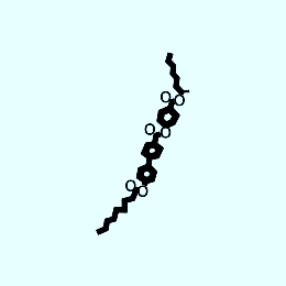 CCCCCCCCC(=O)Oc1ccc(-c2ccc(C(=O)Oc3ccc(C(=O)O[C@H](C)CCCCCC)cc3)cc2)cc1